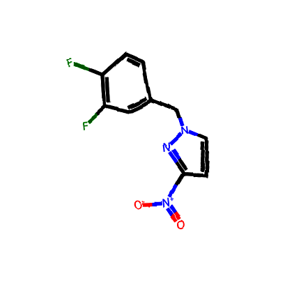 O=[N+]([O-])c1ccn(Cc2ccc(F)c(F)c2)n1